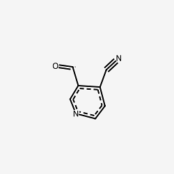 N#Cc1ccncc1[C]=O